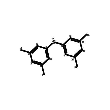 Cc1cc(C)cc([Si]c2cc(C)cc(C)c2)c1